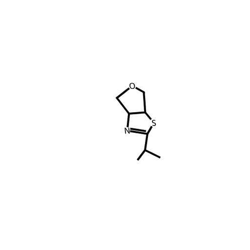 CC(C)C1=NC2COCC2S1